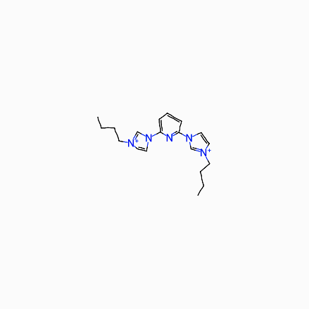 CCCC[n+]1ccn(-c2cccc(-n3cc[n+](CCCC)c3)n2)c1